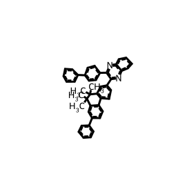 CC1(C)c2cc(-c3ccccc3)ccc2-c2ccc(-c3nc4ccccc4nc3-c3ccc(-c4ccccc4)cc3)cc2C1(C)C